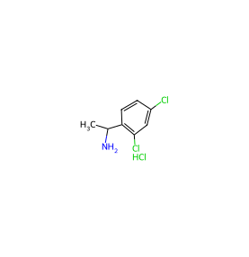 CC(N)c1ccc(Cl)cc1Cl.Cl